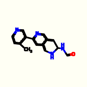 Cc1ccncc1-c1cc2c(cn1)=CC(NC=O)NC=2